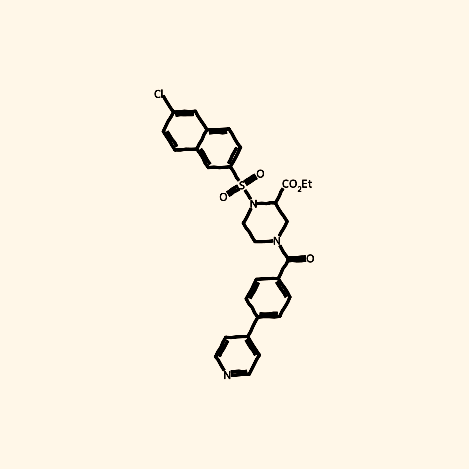 CCOC(=O)C1CN(C(=O)c2ccc(-c3ccncc3)cc2)CCN1S(=O)(=O)c1ccc2cc(Cl)ccc2c1